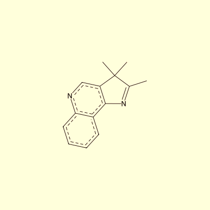 CC1=Nc2c(cnc3ccccc23)C1(C)C